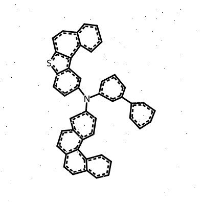 c1ccc(-c2cccc(N(c3ccc4c(ccc5ccc6ccccc6c54)c3)c3ccc4sc5ccc6ccccc6c5c4c3)c2)cc1